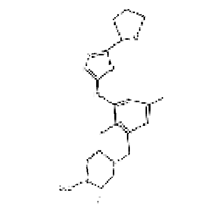 Cc1cc(CN2CCN(C(=O)O)[C@@H](C)C2)c(C)c(Nc2nnc(C3CCCO3)o2)c1